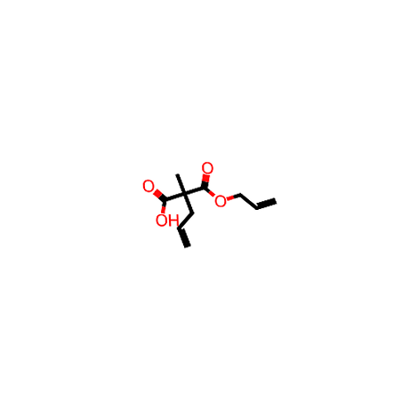 C=CCOC(=O)C(C)(CC=C)C(=O)O